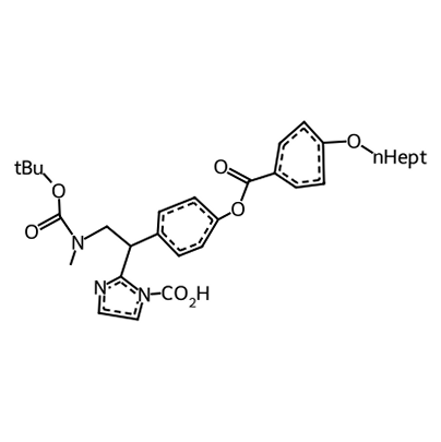 CCCCCCCOc1ccc(C(=O)Oc2ccc(C(CN(C)C(=O)OC(C)(C)C)c3nccn3C(=O)O)cc2)cc1